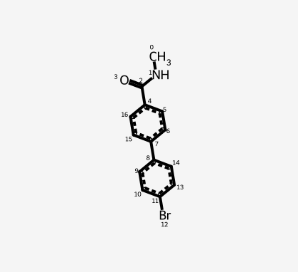 CNC(=O)c1ccc(-c2ccc(Br)cc2)cc1